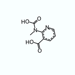 CN(C(=O)O)c1ncccc1C(=O)O